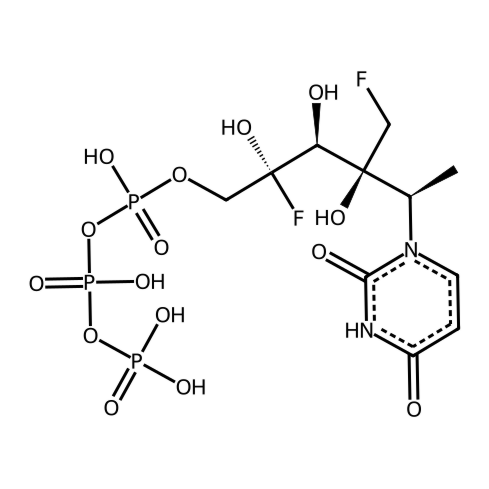 C[C@@H](n1ccc(=O)[nH]c1=O)[C@@](O)(CF)[C@H](O)[C@@](O)(F)COP(=O)(O)OP(=O)(O)OP(=O)(O)O